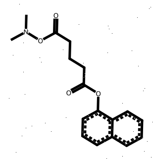 CN(C)OC(=O)CCCC(=O)Oc1cccc2ccccc12